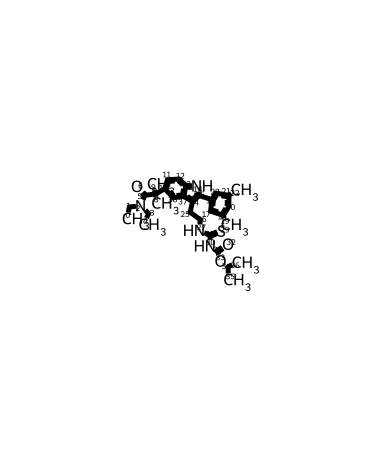 CCN(CC)C(=O)C(C)(C)c1ccc2[nH]c(-c3cc(C)cc(C)c3)c(CCNC(=S)NC(=O)OC(C)C)c2c1